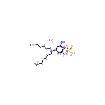 CCCCCCN(CCCCCC)c1cc(N)[n+](OS(=O)(=O)O)c(N)c1.[OH-]